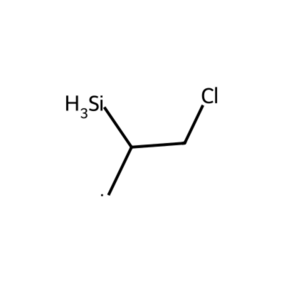 [CH2]C([SiH3])CCl